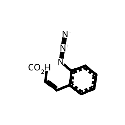 [N-]=[N+]=Nc1ccccc1/C=C\C(=O)O